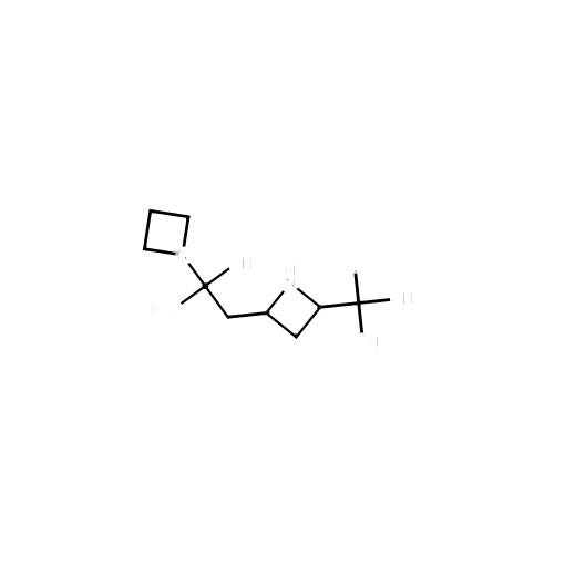 CC(C)(C)C1CC(CC(C)(C)N2CCC2)N1